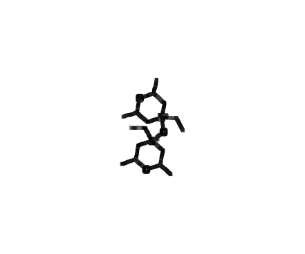 CC[N+]1(O[N+]2(CC)CC(C)OC(C)C2)CC(C)OC(C)C1